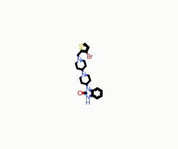 O=c1[nH]c2ccccc2n1C1CCN(C2CCN(Cc3sccc3Br)CC2)CC1